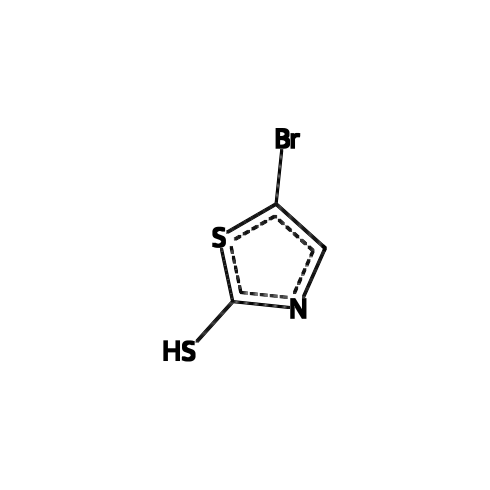 Sc1ncc(Br)s1